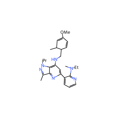 CCN(C)c1ncccc1-c1cc(NCC2C=CC(OC)=CC2C)c2c(n1)c(C)nn2C(C)C